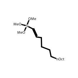 CCCCCCCCCCCCC=C[Si](OC)(OC)OC